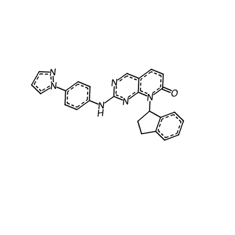 O=c1ccc2cnc(Nc3ccc(-n4cccn4)cc3)nc2n1C1CCc2ccccc21